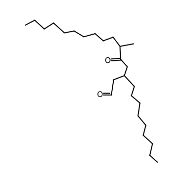 CCCCCCCCCCC(C)C(=O)CC(CC=O)CCCCCCCCC